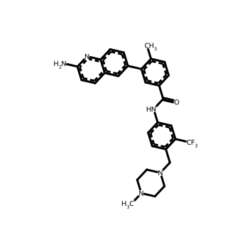 Cc1ccc(C(=O)Nc2ccc(CN3CCN(C)CC3)c(C(F)(F)F)c2)cc1-c1ccc2nc(N)ccc2c1